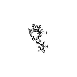 C=C1NC(=O)C(C)=CN1C1CC(OCN=[N+]=[N-])C(COP(=O)(O)OP(=O)(O)OP(=O)(O)O)O1